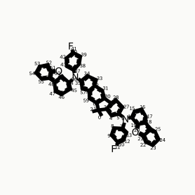 CC1(C)c2cc(N(c3ccc(F)cc3)c3cccc4c3oc3ccccc34)ccc2-c2cc3ccc(N(c4ccc(F)cc4)c4cccc5c4oc4ccccc45)cc3cc21